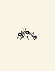 CN(C)c1nc(N[C@H]2CC[C@@H](NC/C=C/c3ccco3)CC2)nc2ccccc12